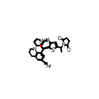 CC(c1cc2nccc(-c3cc(C#N)cc4c3N([C@@H]3CCNC3)CCC4)c2s1)N1C(=O)CCC1=O